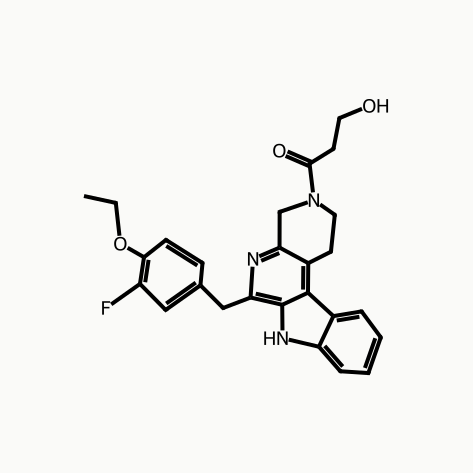 CCOc1ccc(Cc2nc3c(c4c2[nH]c2ccccc24)CCN(C(=O)CCO)C3)cc1F